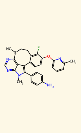 Cc1cccc(Oc2ccc3c(c2F)CCB(C#N)c2ncnc4c2c-3c(-c2ccc(N)cc2)n4C)n1